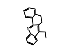 CCc1c2c(nc3ccccc13)-c1ccccc1CC2